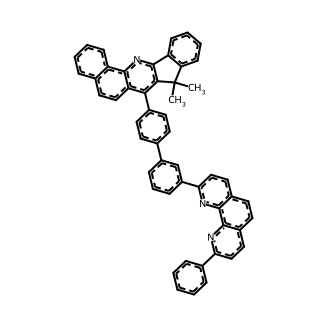 CC1(C)c2ccccc2-c2nc3c(ccc4ccccc43)c(-c3ccc(-c4cccc(-c5ccc6ccc7ccc(-c8ccccc8)nc7c6n5)c4)cc3)c21